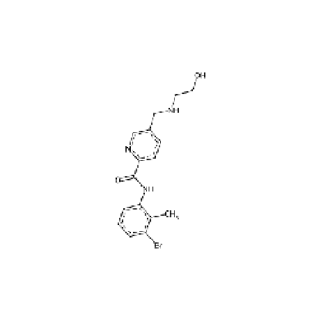 Cc1c(Br)cccc1NC(=O)c1ccc(CNCCO)cn1